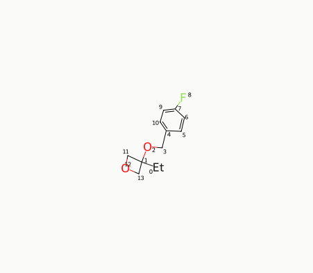 CCC1(OCc2ccc(F)cc2)COC1